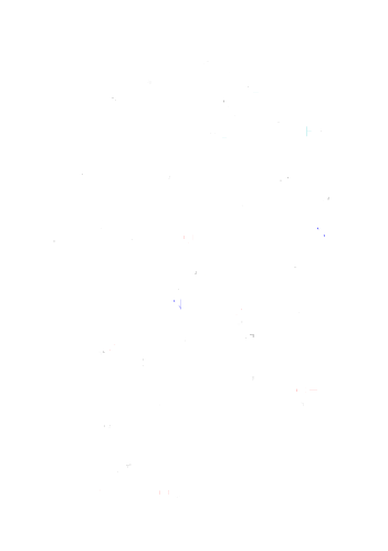 CC1(C)CCC(=Cc2ccc3c(c2)N(S(=O)(=O)c2cc(C(F)(F)F)cnc2OCCO)C[C@H](CCC(=O)O)O3)CC1